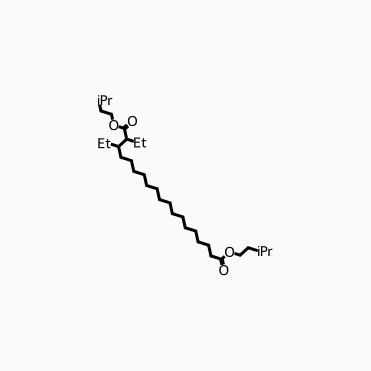 CCC(CCCCCCCCCCCCCCCC(=O)OCCC(C)C)C(CC)C(=O)OCCC(C)C